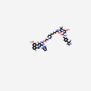 C#Cc1c(F)ccc2cc(O)cc(-c3ncc4c(N5CC6CCC(C5)N6)nc(OCCCN5CCC(CCCCCC(=O)N[C@H](C(=O)N6C[C@H](O)C[C@H]6C(=O)NCc6ccc(C7=C(C)N=CC7)cc6)C(C)(C)C)CC5)nc4c3F)c12